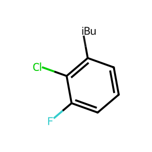 CCC(C)c1cccc(F)c1Cl